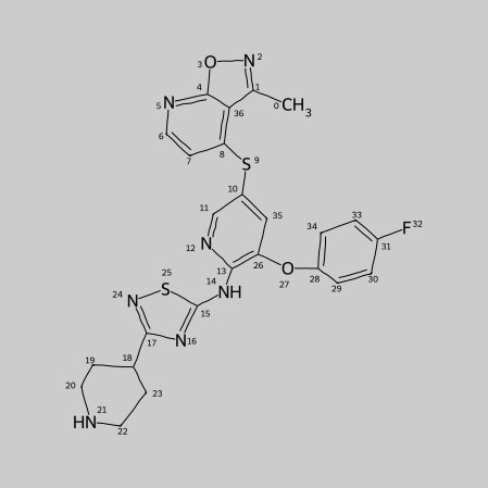 Cc1noc2nccc(Sc3cnc(Nc4nc(C5CCNCC5)ns4)c(Oc4ccc(F)cc4)c3)c12